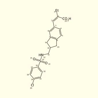 CCC(=Cc1ccc2c(c1)CC(CNS(=O)(=O)c1ccc(Cl)cc1)C2)C(=O)O